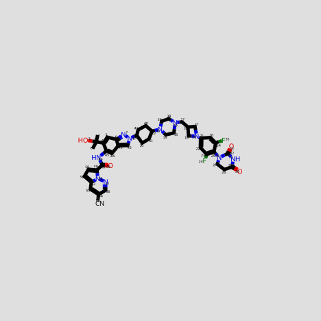 CC(C)(O)c1cc2nn(C3CCC(N4CCN(CC5CN(c6cc(F)c(N7CCC(=O)NC7=O)c(F)c6)C5)CC4)CC3)cc2cc1NC(=O)c1ccc2cc(C#N)cnn12